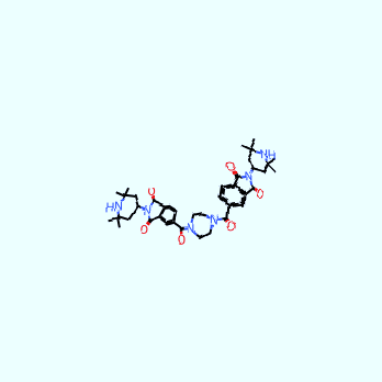 CC1(C)CC(N2C(=O)c3ccc(C(=O)N4CCN(C(=O)c5ccc6c(c5)C(=O)N(C5CC(C)(C)NC(C)(C)C5)C6=O)CC4)cc3C2=O)CC(C)(C)N1